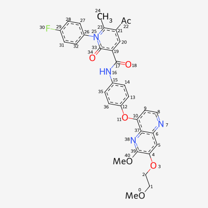 COCCOc1cc2nccc(Oc3ccc(NC(=O)c4cc(C(C)=O)c(C)n(-c5ccc(F)cc5)c4=O)cc3)c2nc1OC